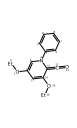 CCOC1=CN(c2ccccc2)C(=C=O)C(OCC)=C1